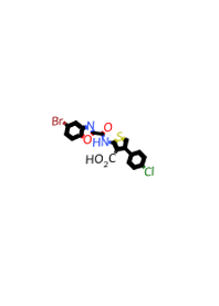 O=C(Nc1scc(-c2ccc(Cl)cc2)c1C(=O)O)c1nc2cc(Br)ccc2o1